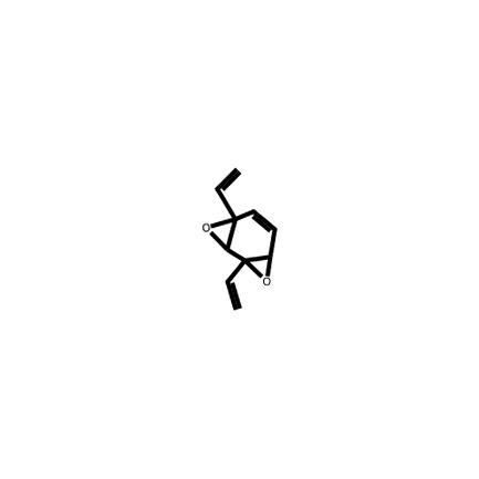 C=CC12C=CC3OC3(C=C)C1O2